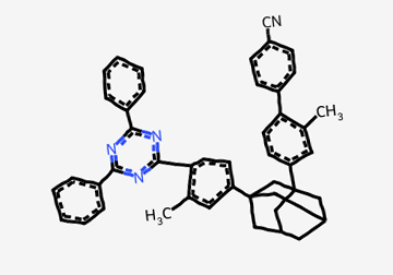 Cc1cc(C23CC4CC(C2)CC(c2ccc(-c5nc(-c6ccccc6)nc(-c6ccccc6)n5)c(C)c2)(C4)C3)ccc1-c1ccc(C#N)cc1